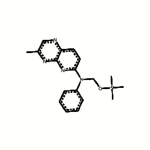 Cc1cnc2ccc(N(CO[Si](C)(C)C)c3ccccc3)nc2n1